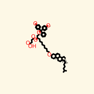 COc1ccc(C(OCCC(CCCCCCCCCOC2CC[C@@]3(C)C(=CCC4C3CC[C@@]3(C)C4CC[C@@H]3[C@H](C)CCCC(C)C)C2)OC(=O)CCC(=O)O)(c2ccccc2)c2ccc(OC)cc2)cc1